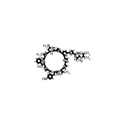 C=C(O)C(=C)NC(=O)C(=C)NC(=O)c1csc(-c2ccc3c(n2)-c2csc(n2)-c2csc(n2)C(C(C)C(C)=O)NC(=O)C(Cc2ccc(O)cc2)CC(=O)c2csc(n2)C(C(O)c2ccccc2)NC(=O)c2nc(sc2C)C(CC(N)=O)NC(=O)c2csc-3n2)n1